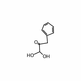 O=C(Cc1ccccc1)C(O)O